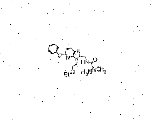 CCOCCn1c(CNC(=O)[C@H](C)N)nc2ccc(Oc3ccccc3)nc21